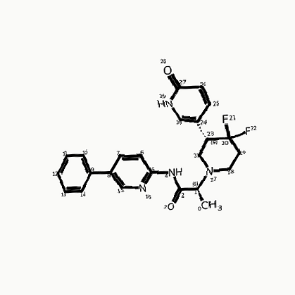 C[C@@H](C(=O)Nc1ccc(-c2ccccc2)cn1)N1CCC(F)(F)[C@@H](c2ccc(=O)[nH]c2)C1